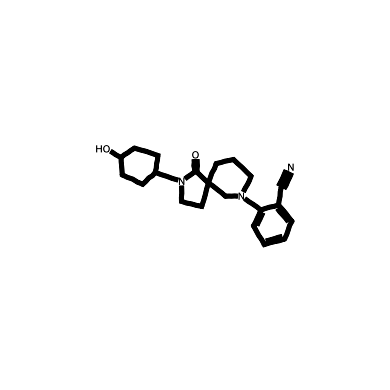 N#Cc1ccccc1N1CCCC2(CCN(C3CCC(O)CC3)C2=O)C1